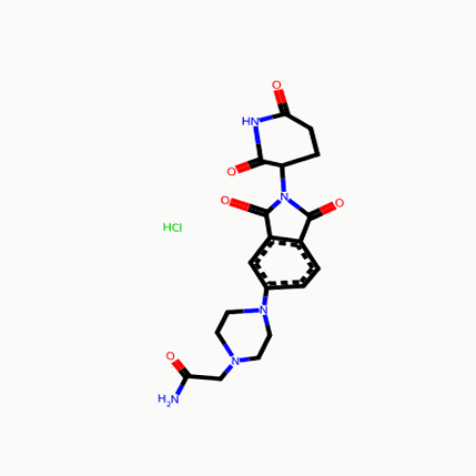 Cl.NC(=O)CN1CCN(c2ccc3c(c2)C(=O)N(C2CCC(=O)NC2=O)C3=O)CC1